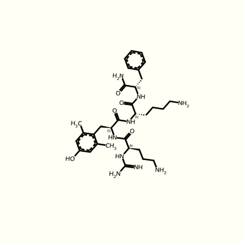 Cc1cc(O)cc(C)c1C[C@H](NC(=O)[C@@H](CCCN)NC(=N)N)C(=O)N[C@@H](CCCCN)C(=O)N[C@@H](Cc1ccccc1)C(N)=O